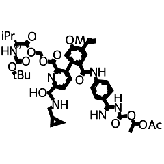 C=Cc1cc(C(=O)Nc2ccc(C(=N)NC(=O)OC(C)OC(C)=O)cc2)c(-c2ccc(C(O)NCC3CC3)nc2C(=O)OCOC(=O)[C@@H](NC(=O)OC(C)(C)C)C(C)C)cc1OC